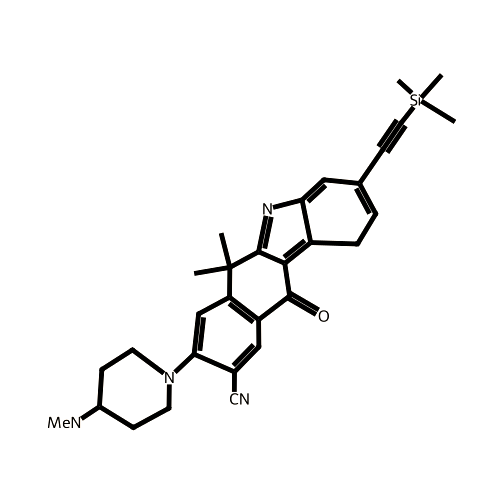 CNC1CCN(c2cc3c(cc2C#N)C(=O)C2=C4CC=C(C#C[Si](C)(C)C)C=C4N=C2C3(C)C)CC1